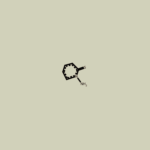 Nn1ccccc1=S